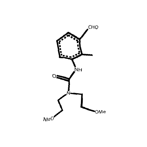 COCCN(CCOC)C(=O)Nc1cccc(C=O)c1C